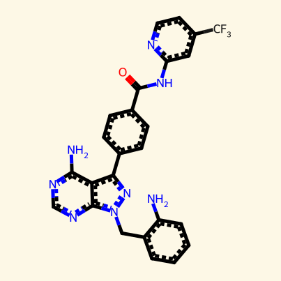 Nc1ccccc1Cn1nc(-c2ccc(C(=O)Nc3cc(C(F)(F)F)ccn3)cc2)c2c(N)ncnc21